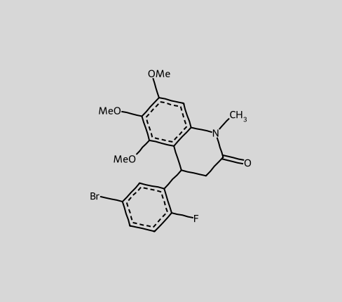 COc1cc2c(c(OC)c1OC)C(c1cc(Br)ccc1F)CC(=O)N2C